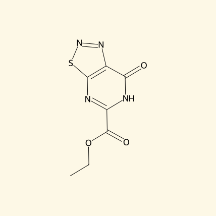 CCOC(=O)c1nc2snnc2c(=O)[nH]1